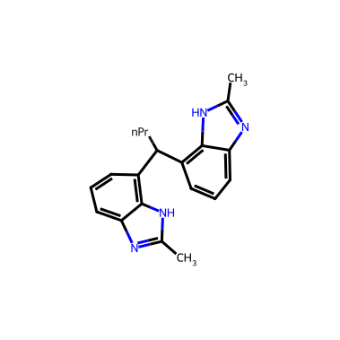 CCCC(c1cccc2nc(C)[nH]c12)c1cccc2nc(C)[nH]c12